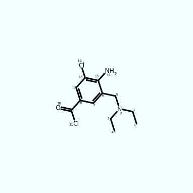 CCN(CC)Cc1cc(C(=O)Cl)cc(Cl)c1N